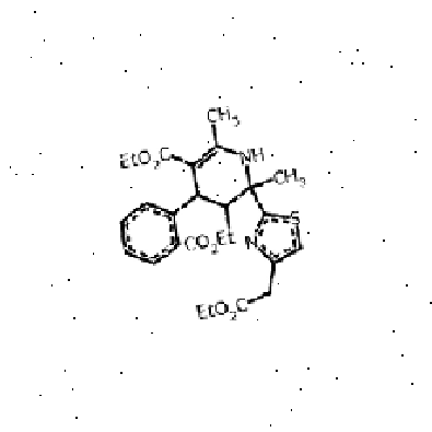 CCOC(=O)Cc1csc(C2(C)NC(C)=C(C(=O)OCC)C(c3ccccc3)C2C(=O)OCC)n1